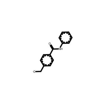 [O]Cc1ccc(C(=O)Nc2ccccc2)cc1